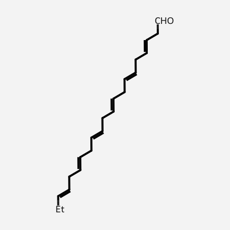 CCC=CCC=CCC=CCC=CCC=CCC=CCC=O